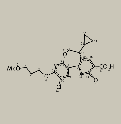 COCCCOc1cc2c(cc1Cl)-c1cc(=O)c(C(=O)O)cn1C(C1CC1)CO2